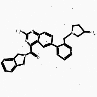 Nc1nc(C(=O)N2Cc3ccccc3C2)c2cc(-c3ccccc3CN3CCC(N)C3)ccc2n1